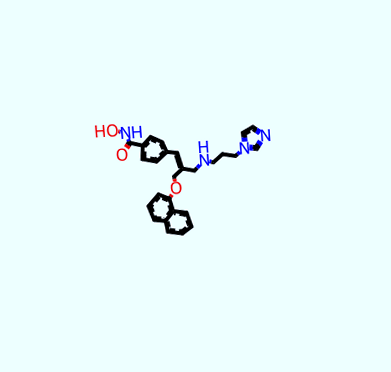 O=C(NO)c1ccc(/C=C(/CNCCCn2ccnc2)COc2cccc3ccccc23)cc1